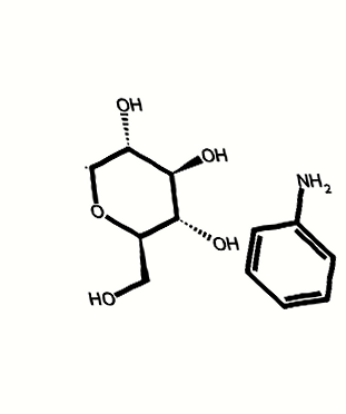 Nc1ccccc1.OC[C@H]1O[CH][C@H](O)[C@@H](O)[C@@H]1O